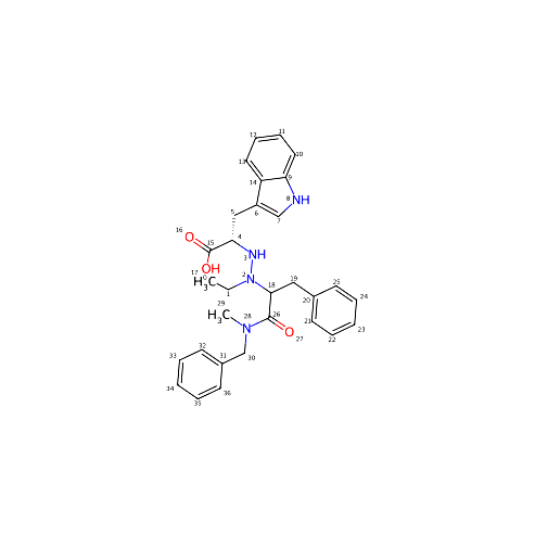 CCN(N[C@@H](Cc1c[nH]c2ccccc12)C(=O)O)C(Cc1ccccc1)C(=O)N(C)Cc1ccccc1